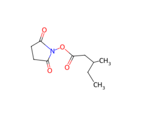 CCC(C)CC(=O)ON1C(=O)CCC1=O